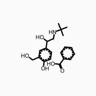 CC(C)(C)NCC(O)c1ccc(O)c(CO)c1.O=C(O)c1ccccc1